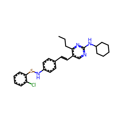 CCCc1nc(NC2CCCCC2)ncc1/C=C/c1ccc(NSc2ccccc2Cl)cc1